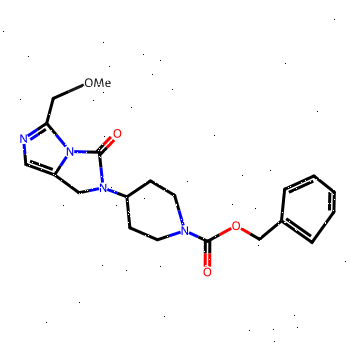 COCc1ncc2n1C(=O)N(C1CCN(C(=O)OCc3ccccc3)CC1)C2